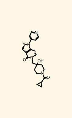 O=C(C1CC1)N1CCC(O)(Cn2cnc3c(cnn3-c3ccncc3)c2=O)CC1